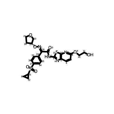 O=C(Nc1nc2ccc(OCCO)nc2s1)/C(=N/O[C@@H]1CCOC1)c1ccc(S(=O)(=O)C2CC2)cc1